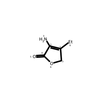 CCC1=C(N)C(=O)OC1